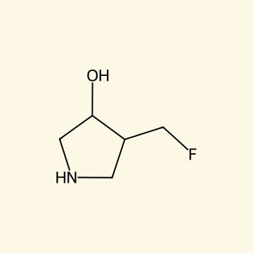 OC1CNCC1CF